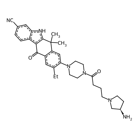 CCc1cc2c(cc1N1CCN(C(=O)CCCN3CC[C@@H](N)C3)CC1)C(C)(C)c1[nH]c3cc(C#N)ccc3c1C2=O